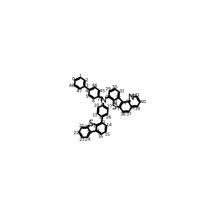 c1ccc(-c2ccc(N(c3ccc(-c4cccc5c4sc4ccccc45)cc3)c3cccc4c3sc3ccc5cccnc5c34)cc2)cc1